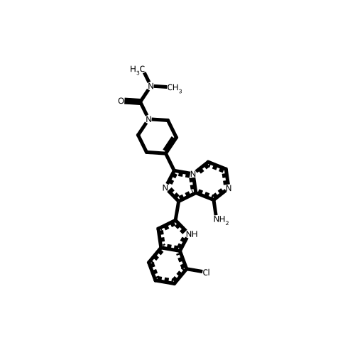 CN(C)C(=O)N1CC=C(c2nc(-c3cc4cccc(Cl)c4[nH]3)c3c(N)nccn23)CC1